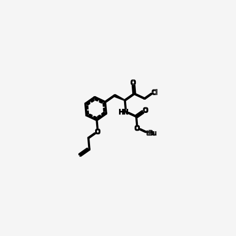 C=CCOc1cccc(C[C@H](NC(=O)OC(C)(C)C)C(=O)CCl)c1